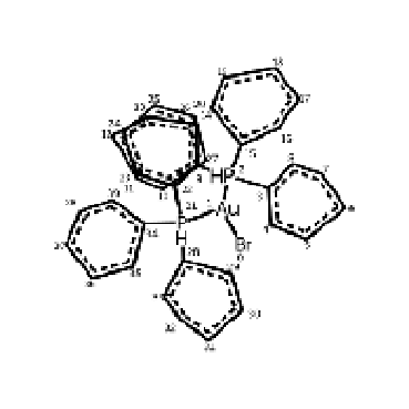 [Br][Au]([PH](c1ccccc1)(c1ccccc1)c1ccccc1)[PH](c1ccccc1)(c1ccccc1)c1ccccc1